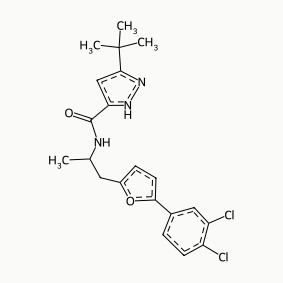 CC(Cc1ccc(-c2ccc(Cl)c(Cl)c2)o1)NC(=O)c1cc(C(C)(C)C)n[nH]1